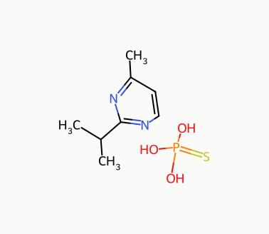 Cc1ccnc(C(C)C)n1.OP(O)(O)=S